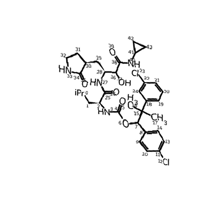 CC(C)C[C@H](NC(=O)OC(c1ccc(Cl)cc1)C(C)(C)c1cccc(Cl)c1)C(=O)N[C@@H](C[C@@H]1CCNC1=O)C(O)C(=O)NC1CC1